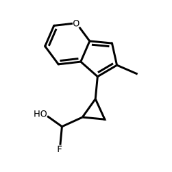 Cc1cc2occcc-2c1C1CC1C(O)F